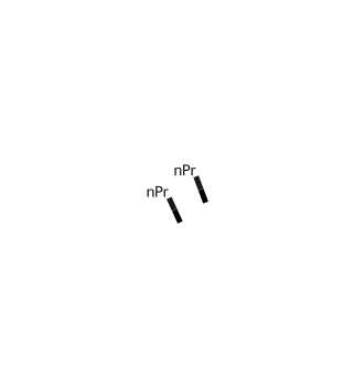 CCCC.CCCC